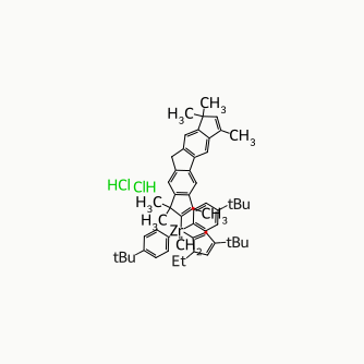 Cl.Cl.[CH2]=[Zr]([C]1=CC(C(C)(C)C)=CC1CC)([C]1=C(C)c2cc3c(cc2C1(C)C)Cc1cc2c(cc1-3)C(C)=CC2(C)C)([c]1ccc(C(C)(C)C)cc1)[c]1ccc(C(C)(C)C)cc1